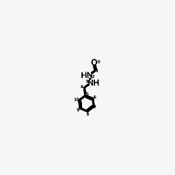 O=CNNCc1ccccc1